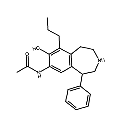 CCCc1c(O)c(NC(C)=O)cc2c1CCNCC2c1ccccc1